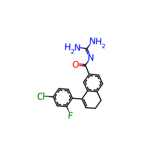 NC(N)=NC(=O)c1ccc2c(c1)C(c1ccc(Cl)cc1F)=CCC2